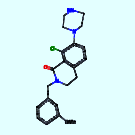 COc1cccc(CN2CCc3ccc(N4CCNCC4)c(Cl)c3C2=O)c1